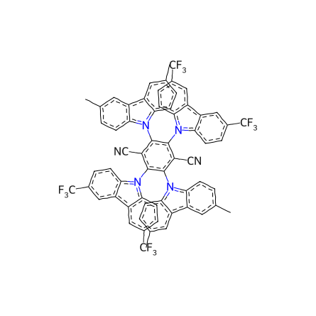 Cc1ccc2c(c1)c1cc(C)ccc1n2-c1c(C#N)c(-n2c3ccc(C(F)(F)F)cc3c3cc(C(F)(F)F)ccc32)c(-n2c3ccc(C)cc3c3cc(C)ccc32)c(C#N)c1-n1c2ccc(C(F)(F)F)cc2c2cc(C(F)(F)F)ccc21